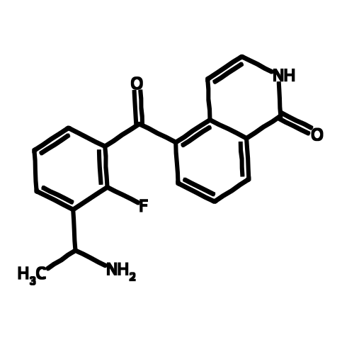 CC(N)c1cccc(C(=O)c2cccc3c(=O)[nH]ccc23)c1F